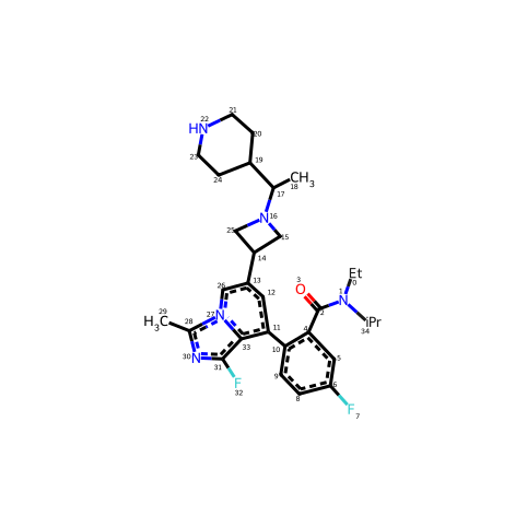 CCN(C(=O)c1cc(F)ccc1-c1cc(C2CN(C(C)C3CCNCC3)C2)cn2c(C)nc(F)c12)C(C)C